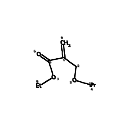 C=C(COC(C)C)C(=O)OCC